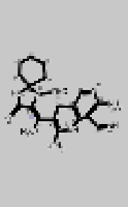 CC1=C(/C(C)=C2/C(=O)NC3(CCCCC3)N2C=O)Cc2cnc(N)c(C=N)c2N1